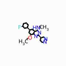 CCOc1cc(-c2cccc(F)c2)cc2c(NC)nc(-c3ccnnc3)nc12